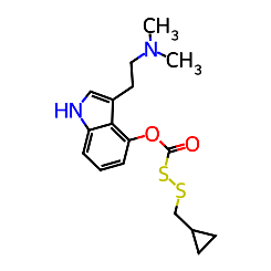 CN(C)CCc1c[nH]c2cccc(OC(=O)SSCC3CC3)c12